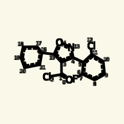 O=C(Cl)c1c(-c2c(F)cccc2Cl)noc1-c1ccccc1